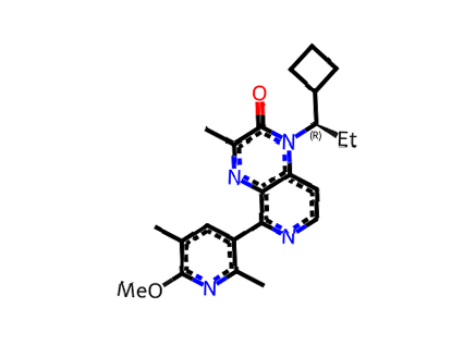 CC[C@H](C1CCC1)n1c(=O)c(C)nc2c(-c3cc(C)c(OC)nc3C)nccc21